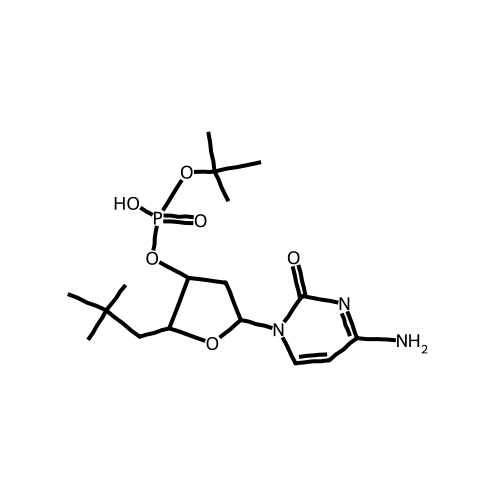 CC(C)(C)CC1OC(n2ccc(N)nc2=O)CC1OP(=O)(O)OC(C)(C)C